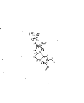 C=CC(=O)N(CC)CC1CCCC(CN(CCS(=O)(=O)O)C(=O)C=C)C1